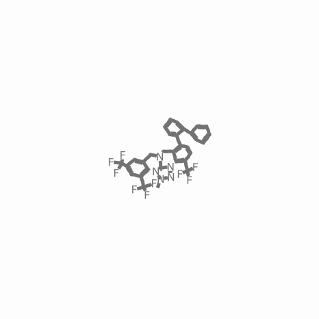 Cn1nnc(N(Cc2cc(C(F)(F)F)cc(C(F)(F)F)c2)Cc2cc(C(F)(F)F)ccc2-c2ccccc2-c2ccccc2)n1